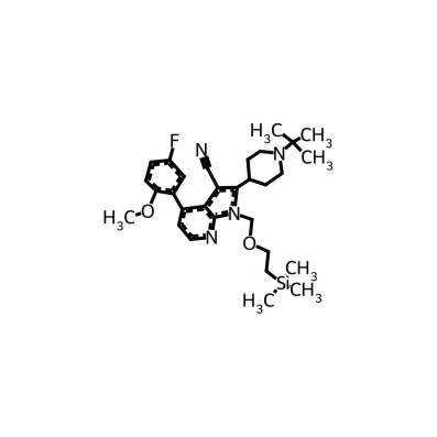 COc1ccc(F)cc1-c1ccnc2c1c(C#N)c(C1CCN(C(C)(C)C)CC1)n2COCC[Si](C)(C)C